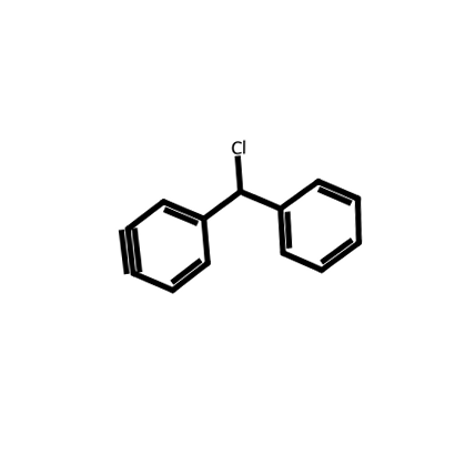 ClC(c1cc#ccc1)c1ccccc1